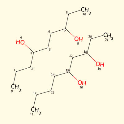 CCCC(O)CCC(O)CC.CCCCC(O)CC(O)CC